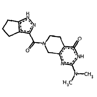 CN(C)c1nc2c(c(=O)[nH]1)CCN(C(=O)c1n[nH]c3c1CCC3)C2